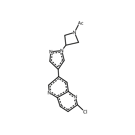 CC(=O)N1CC(n2cc(-c3cnc4ccc(Cl)nc4c3)cn2)C1